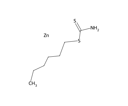 CCCCCCSC(N)=S.[Zn]